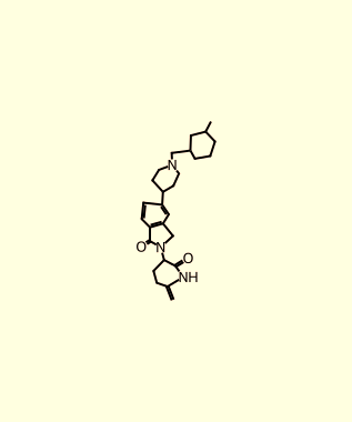 C=C1CCC(N2Cc3cc(C4CCN(CC5CCCC(C)C5)CC4)ccc3C2=O)C(=O)N1